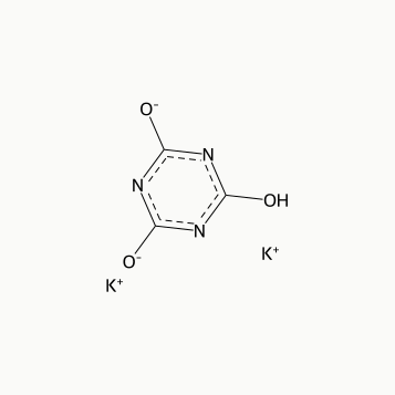 [K+].[K+].[O-]c1nc([O-])nc(O)n1